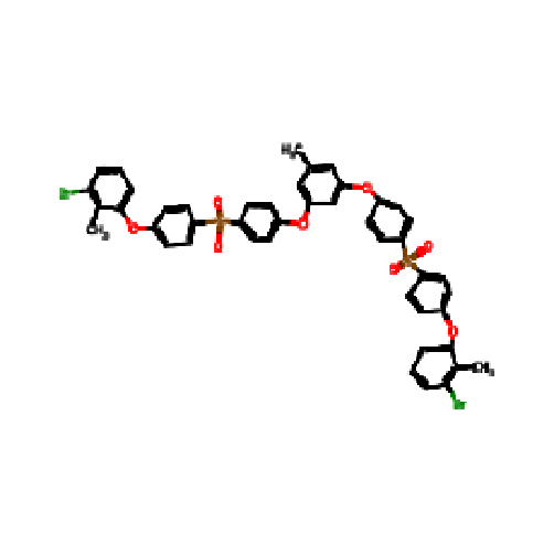 Cc1cc(Oc2ccc(S(=O)(=O)c3ccc(Oc4cccc(Br)c4C)cc3)cc2)cc(Oc2ccc(S(=O)(=O)c3ccc(Oc4cccc(Br)c4C)cc3)cc2)c1